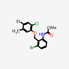 CCc1cc(Cl)c(OCc2c(Br)cccc2NC(=O)OC)cc1C